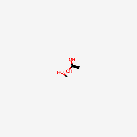 C=C(O)O.CO